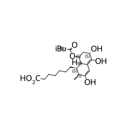 CC[C@H](C)C(=O)O[C@H]1C[C@H](O)C(O)=C2C=C(O)[C@@H](C)[C@@H](CCCCCCC(=O)O)[C@H]21